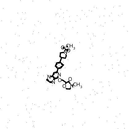 CN1CCOC(COc2nc(-c3ccc(C4CCN(S(C)(=O)=O)CC4)cc3)cc3nccnc23)C1=O